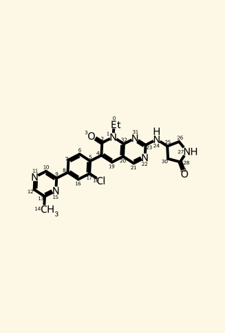 CCn1c(=O)c(-c2ccc(-c3cncc(C)n3)cc2Cl)cc2cnc(NC3CNC(=O)C3)nc21